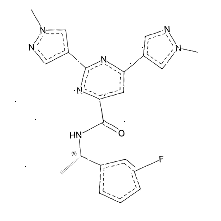 C[C@H](NC(=O)c1cc(-c2cnn(C)c2)nc(-c2cnn(C)c2)n1)c1cccc(F)c1